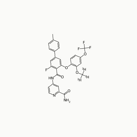 [2H]C([2H])([2H])Oc1cc(OC(F)(F)F)ccc1Oc1cc(-c2ccc(C)cc2)cc(F)c1C(=O)Nc1ccnc(C(N)=O)c1